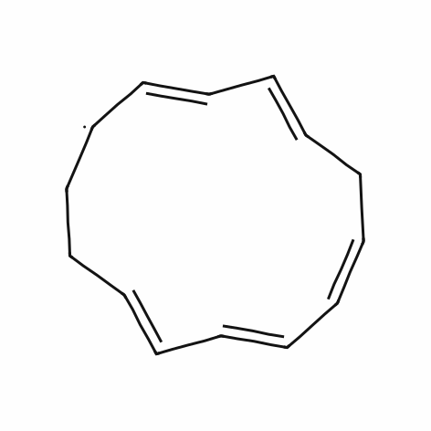 [CH]1/C=C/C=C/C\C=C/C=C/C=C/CC1